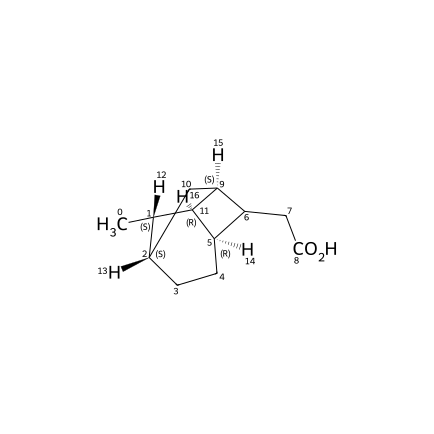 C[C@H]1[C@H]2CC[C@@H]3C(CC(=O)O)[C@H](C2)[C@H]13